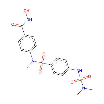 CN(C)S(=O)(=O)Nc1ccc(S(=O)(=O)N(C)c2ccc(C(=O)NO)cc2)cc1